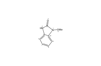 COn1c(=O)[nH]c2ccccc21